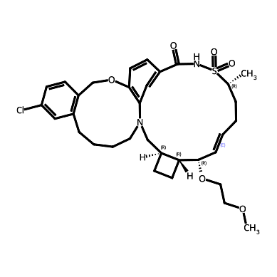 COCCO[C@H]1/C=C/CC[C@@H](C)S(=O)(=O)NC(=O)c2ccc3c(c2)N(CCCCc2cc(Cl)ccc2CO3)C[C@@H]2CC[C@H]21